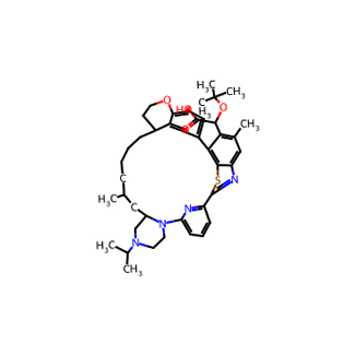 Cc1cc2nc3sc2c(c1C(OC(C)(C)C)C(=O)O)-c1ccc2c(c1)C(CCCCC(C)CC1CN(C(C)C)CCN1c1cccc-3n1)CCO2